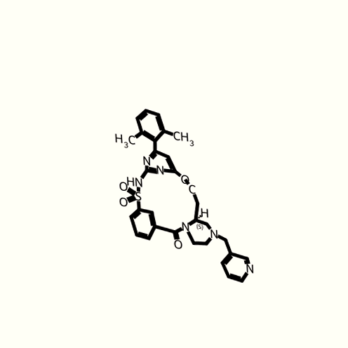 Cc1cccc(C)c1-c1cc2nc(n1)NS(=O)(=O)c1cccc(c1)C(=O)N1CCN(Cc3cccnc3)C[C@@H]1CCO2